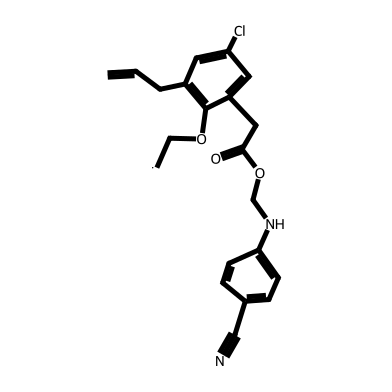 [CH2]COc1c(CC=C)cc(Cl)cc1CC(=O)OCNc1ccc(C#N)cc1